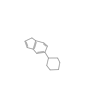 C1=Cc2cc(C3CCCCC3)ccc2C1